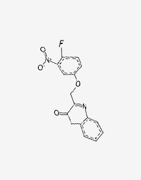 O=C1Cc2ccccc2N=C1COc1ccc(F)c([N+](=O)[O-])c1